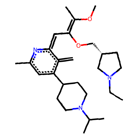 C=c1c(C2CCN(C(C)C)CC2)cc(C)n/c1=C/C(OC[C@@H]1CCN(CC)C1)=C(\C)OC